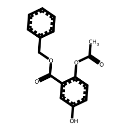 CC(=O)Oc1ccc(O)cc1C(=O)OCc1ccccc1